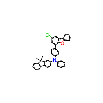 CC1(C)c2ccccc2-c2ccc(N(c3ccccc3)c3ccc(-c4cc(Cl)cc5c4oc4ccccc45)cc3)cc21